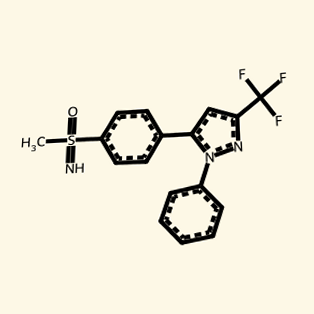 CS(=N)(=O)c1ccc(-c2cc(C(F)(F)F)nn2-c2ccccc2)cc1